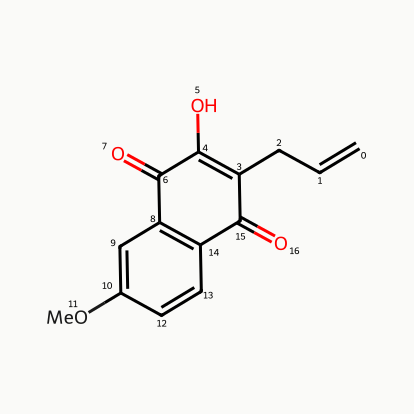 C=CCC1=C(O)C(=O)c2cc(OC)ccc2C1=O